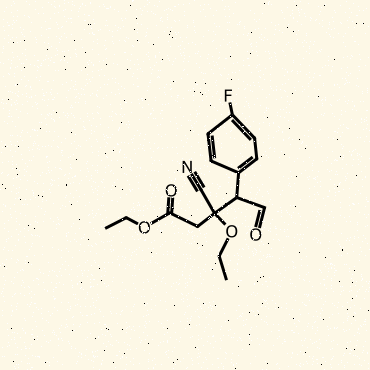 CCOC(=O)CC(C#N)(OCC)C(C=O)c1ccc(F)cc1